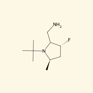 C[C@@H]1C[C@@H](F)C(CN)N1C(C)(C)C